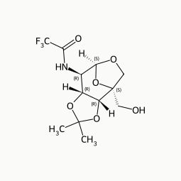 CC1(C)O[C@@H]2[C@@H](NC(=O)C(F)(F)F)[C@H]3OC[C@](CO)(O3)[C@@H]2O1